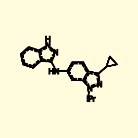 CC(C)n1nc(C2CC2)c2ccc(Nc3n[nH]c4ccccc34)cc21